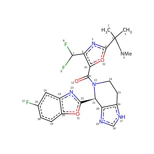 CNC(C)(C)c1nc(C(F)F)c(C(=O)N2CCc3[nH]cnc3[C@H]2c2nc3cc(F)ccc3o2)o1